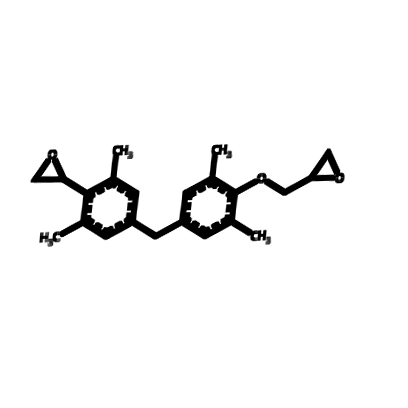 Cc1cc(Cc2cc(C)c(C3CO3)c(C)c2)cc(C)c1OCC1CO1